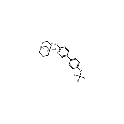 FC(F)(F)Oc1ccc(-c2ccc(O[C@H]3CC[N@@]4CCC[C@H]3C4)nn2)cc1